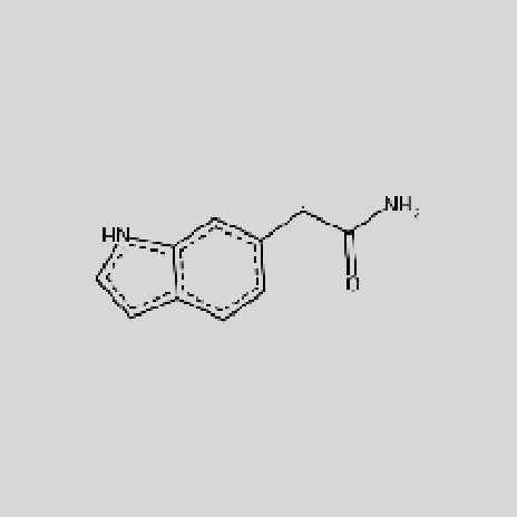 NC(=O)[CH]c1ccc2cc[nH]c2c1